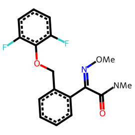 CNC(=O)/C(=N\OC)c1ccccc1COc1c(F)cccc1F